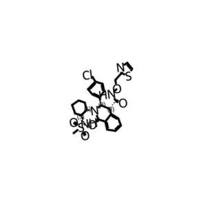 CS(=O)(=O)N[C@H]1CCCC[C@@H]1N1C(=O)c2ccccc2[C@@H](C(=O)NOCc2nccs2)[C@@H]1c1ccc(Cl)cc1